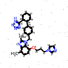 CCCCc1nc2c(C)ccc(OCCCn3ccnc3)c2n1Cc1ccc(-c2ccccc2-c2nnn[nH]2)cc1